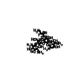 C[C@H](N)[C@H]1O[C@H](O[C@@H]2[C@@H](N)[C@H](O)[C@@H](NC(=O)[C@@H](O)[C@H](F)CN)[C@H](O)[C@H]2O[C@@H]2O[C@H](CO)[C@@H](O[C@H]3O[C@@H](CN)[C@@H](O)[C@H](O)[C@H]3N)[C@H]2O)[C@H](N)C[C@@H]1O